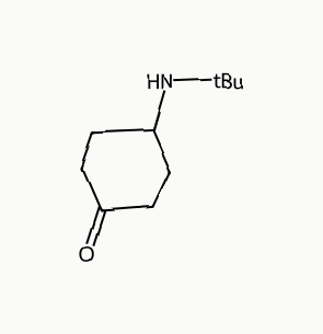 CC(C)(C)NC1CCC(=O)CC1